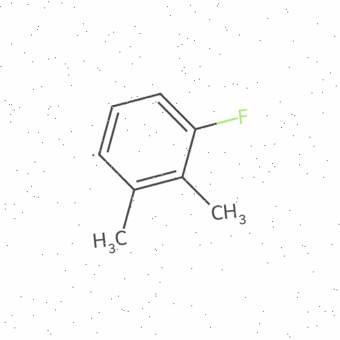 Cc1[c]ccc(F)c1C